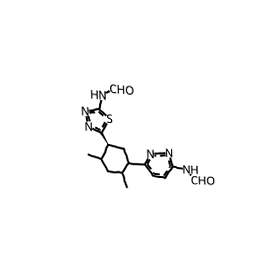 CC1CC(C)[C@@H](c2nnc(NC=O)s2)CC1c1ccc(NC=O)nn1